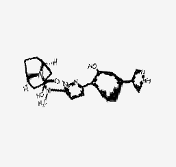 CN(c1ccc(-c2ccc(-c3cn[nH]c3)cc2O)nn1)[C@H]1C[C@H]2CC[C@@H](C1)N2C(=O)O